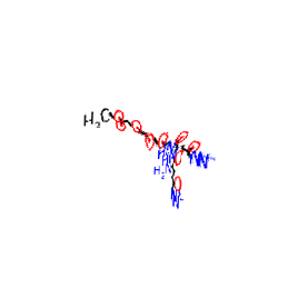 C=CCOC(=O)CCOCCOCCOCCNC(=O)[C@H](CCC(=O)C=[N+]=[N-])NC(=O)[C@@H](N)CCC(=O)C=[N+]=[N-]